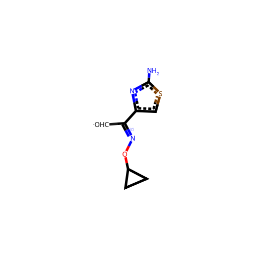 Nc1nc(/C([C]=O)=N/OC2CC2)cs1